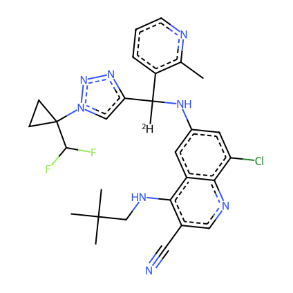 [2H]C(Nc1cc(Cl)c2ncc(C#N)c(NCC(C)(C)C)c2c1)(c1cn(C2(C(F)F)CC2)nn1)c1cccnc1C